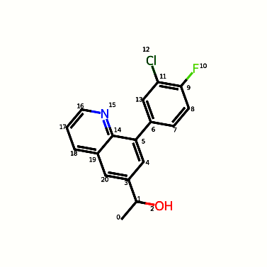 CC(O)c1cc(-c2ccc(F)c(Cl)c2)c2ncccc2c1